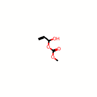 C=CC(O)OC(=O)OC